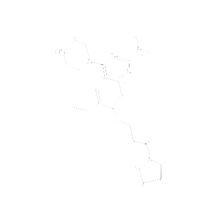 COc1cc2c(N3CCNCC3)nc(N(C)C)nc2cc1OCCCN1CCCC1